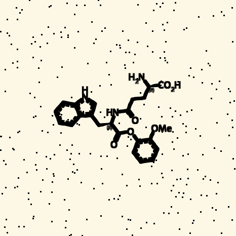 COc1ccccc1OC(=O)[C@@H](Cc1c[nH]c2ccccc12)NC(=O)CC[C@@H](N)C(=O)O